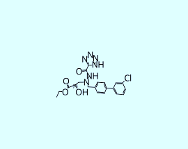 CCOC(=O)[C@H](O)CN(Cc1ccc(-c2cccc(Cl)c2)cc1)NC(=O)c1nnn[nH]1